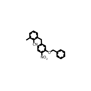 Cc1cccc(Cc2ccc([N+](=O)[O-])c(OCc3ccccc3)c2)c1C#N